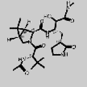 CNC(=O)C(O)[C@H](C[C@@H]1CCNC1=O)NC(=O)[C@@H]1[C@@H]2[C@H](CN1C(=O)[C@@H](NC(C)=O)C(C)(C)C)C2(C)C